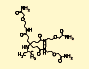 CC(C)NC(CCC(=O)NCCOCC(N)=O)(CCC(=O)NCCOCC(N)=O)CCC(=O)NCCOCC(N)=O